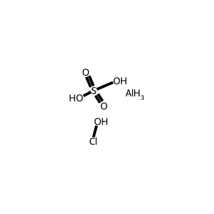 O=S(=O)(O)O.OCl.[AlH3]